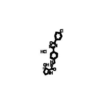 Cl.O=C(NCc1ccc(-c2noc(-c3ccc(Cl)cc3)n2)cc1)[C@H]1NCC[C@@H]1O